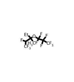 CCC(C)(OC(F)(F)C(F)(F)C(F)(F)F)C(F)C(F)(F)F